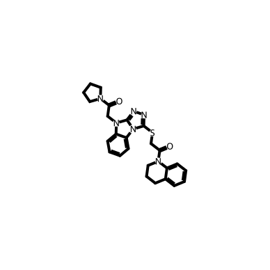 O=C(Cn1c2ccccc2n2c(SCC(=O)N3CCCc4ccccc43)nnc12)N1CCCC1